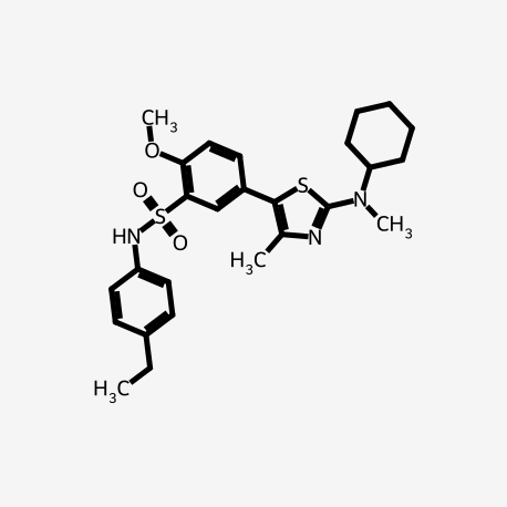 CCc1ccc(NS(=O)(=O)c2cc(-c3sc(N(C)C4CCCCC4)nc3C)ccc2OC)cc1